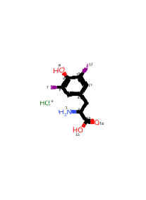 Cl.NC(Cc1cc(I)c(O)c(I)c1)C(=O)O